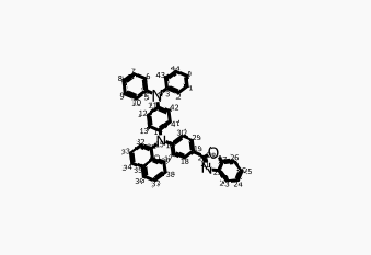 c1ccc(N(c2ccccc2)c2ccc(N(c3ccc(-c4nc5ccccc5o4)cc3)c3cccc4ccccc34)cc2)cc1